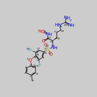 Cc1ccc(Oc2c(F)cc(S(=O)(=O)N[C@H](CCCNC(=N)N)C(=O)NO)cc2F)cc1